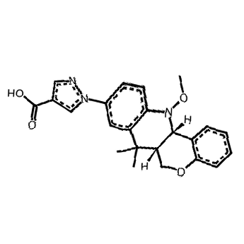 CON1c2ccc(-n3cc(C(=O)O)cn3)cc2C(C)(C)[C@H]2COc3ccccc3[C@H]21